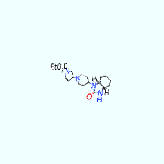 CCOC(=O)N1CCC(N2CCC(N3C(=O)N[C@H]4CCCC[C@@H]43)CC2)C1